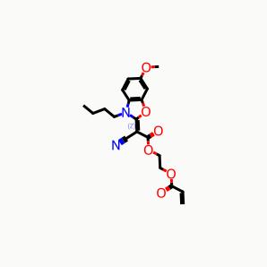 C=CC(=O)OCCOC(=O)/C(C#N)=C1\Oc2cc(OC)ccc2N1CCCC